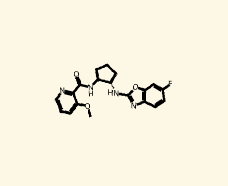 COc1cccnc1C(=O)NC1CCC[C@@H]1Nc1nc2ccc(F)cc2o1